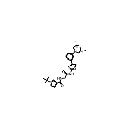 C[C@@H]1CN(c2cccc(-c3csc(NC(=O)CNC(=O)c4ccn(C(C)(C)C)c4)n3)c2)C[C@H](C)O1